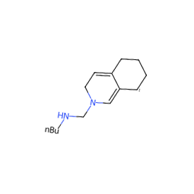 CCCCNCN1C=C2[C]CCCC2=CC1